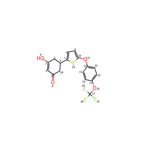 O=C1C=C(O)CC(c2ccc(Oc3ccc(OC(F)(F)F)cc3)s2)C1